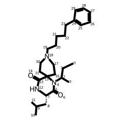 CCC(C)N1C(=O)[C@H](CC(C)C)NC(=O)C12CCN(CCCCCc1ccccc1)CC2